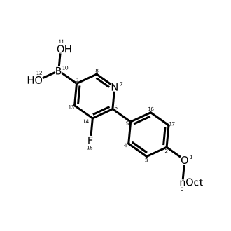 CCCCCCCCOc1ccc(-c2ncc(B(O)O)cc2F)cc1